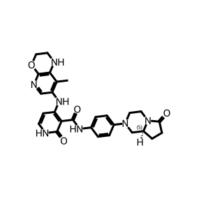 Cc1c(Nc2cc[nH]c(=O)c2C(=O)Nc2ccc(N3CCN4C(=O)CC[C@H]4C3)cc2)cnc2c1NCCO2